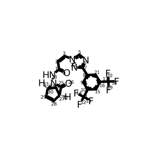 O=C(/C=C\n1cnc(-c2cc(C(F)(F)F)cc(C(F)(F)F)c2)n1)NN1C(=O)[C@H]2C=C[C@@H]1C2